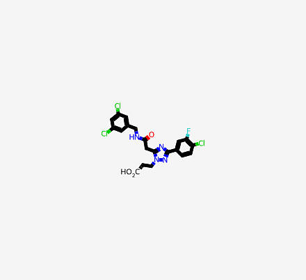 O=C(O)CCn1nc(-c2ccc(Cl)c(F)c2)nc1CC(=O)NCc1cc(Cl)cc(Cl)c1